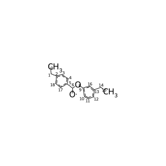 CCc1ccc(C([O])Oc2cccc(CC)c2)cc1